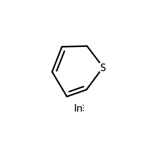 C1=CCSC=C1.[In]